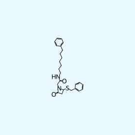 O=C(CN1C(=O)CC1SCc1ccccc1)NCCCCCCCc1ccccc1